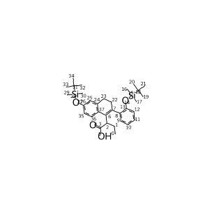 CCC(C(=O)O)C1=C(c2ccccc2O[Si](C)(C)C(C)(C)C)CCc2cc(O[Si](C)(C)C(C)(C)C)ccc21